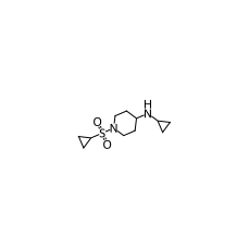 O=S(=O)(C1CC1)N1CCC(NC2CC2)CC1